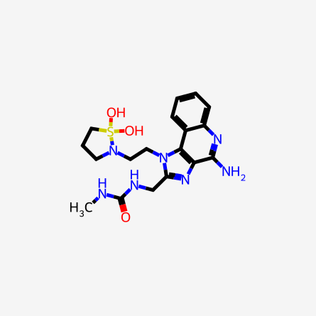 CNC(=O)NCc1nc2c(N)nc3ccccc3c2n1CCN1CCCS1(O)O